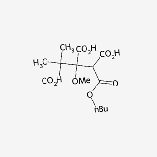 CCCCOC(=O)C(C(=O)O)C(OC)(C(=O)O)C(C)(C)C(=O)O